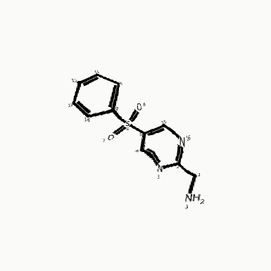 NCc1ncc(S(=O)(=O)c2ccccc2)cn1